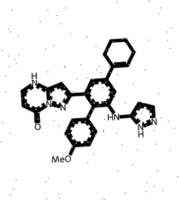 COc1ccc(-c2c(Nc3ccn[nH]3)cc(C3=CCCCC3)cc2-c2cc3[nH]ccc(=O)n3n2)cc1